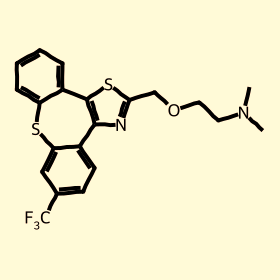 CN(C)CCOCc1nc2c(s1)-c1ccccc1Sc1cc(C(F)(F)F)ccc1-2